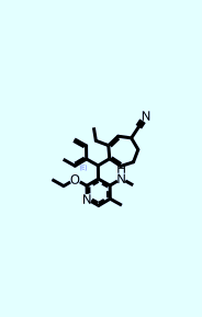 C=C/C(=C\C)C(C1=CCCC(C#N)C=C1CC)c1c(OCC)ncc(C)c1NC